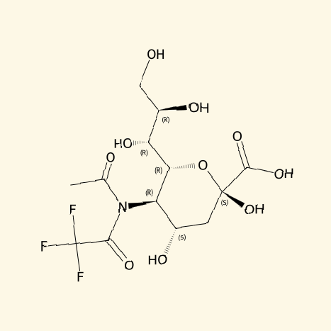 CC(=O)N(C(=O)C(F)(F)F)[C@H]1[C@H]([C@H](O)[C@H](O)CO)O[C@](O)(C(=O)O)C[C@@H]1O